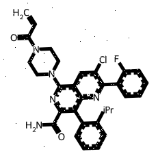 C=CC(=O)N1CCN(c2nc(C(N)=O)c(-c3ccccc3C(C)C)c3nc(-c4ccccc4F)c(Cl)cc23)CC1